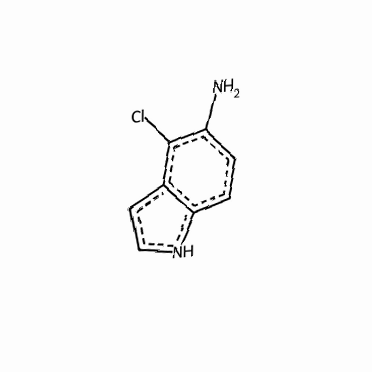 Nc1ccc2[nH]ccc2c1Cl